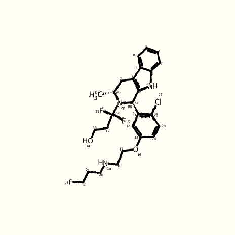 C[C@@H]1Cc2c([nH]c3ccccc23)[C@@H](c2cc(OCCNCCCF)ccc2Cl)N1C(F)(F)CCO